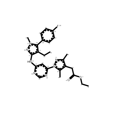 CCOC(=O)Cc1c(C)nn(-c2cc(Nc3nn(C)c(-c4ccc(F)cc4)c3CC)ncn2)c1C